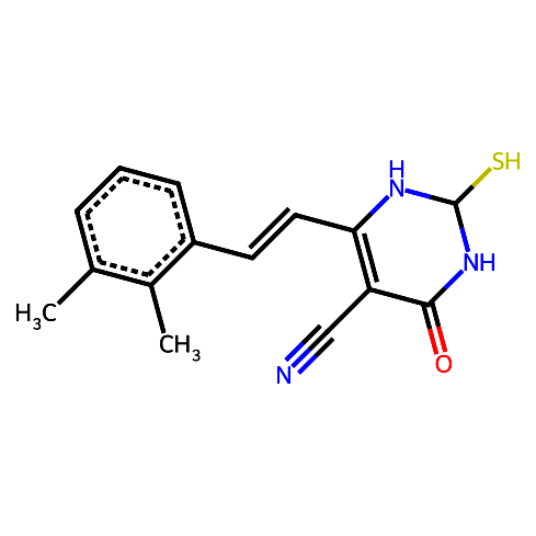 Cc1cccc(/C=C/C2=C(C#N)C(=O)NC(S)N2)c1C